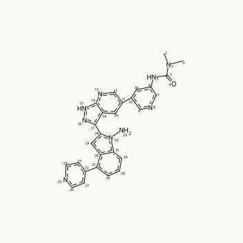 CN(C)C(=O)Nc1cncc(-c2cnc3[nH]nc(-c4cc5c(-c6ccncc6)cccc5n4N)c3c2)c1